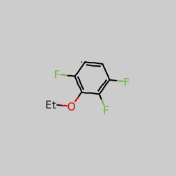 CCOc1c(F)[c]cc(F)c1F